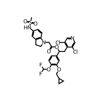 CS(=O)(=O)Nc1ccc2c(c1)CCN2CC(=O)OC(Cc1c(Cl)cncc1Cl)c1ccc(OC(F)F)c(OCC2CC2)c1